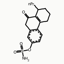 CCCC1CCCC2=C1C(=O)Cc1cc(OS(N)(=O)=O)ccc12